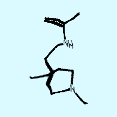 C=C(C)NCC1(C)CN(C)C1